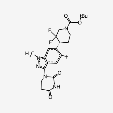 Cn1nc(N2CCC(=O)NC2=O)c2cc(F)c([C@H]3CCN(C(=O)OC(C)(C)C)CC3(F)F)cc21